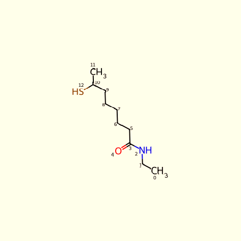 CCNC(=O)CCCCCC(C)S